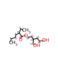 CCCCC(CC)C(=O)OCCC(CO)CCO